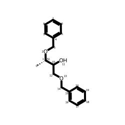 C[C@H](OCc1ccccc1)C(O)COCc1ccccc1